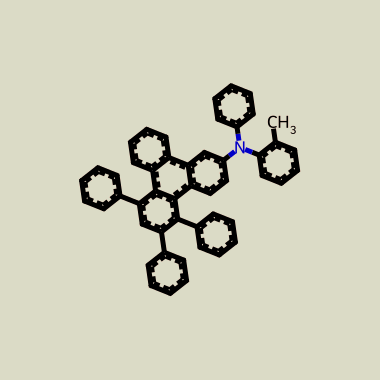 Cc1ccccc1N(c1ccccc1)c1ccc2c(c1)c1ccccc1c1c(-c3ccccc3)cc(-c3ccccc3)c(-c3ccccc3)c21